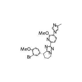 COc1ccc([C@H]2CCCn3nc(-c4ccc(-n5cnc(C)c5)c(OC)n4)nc32)cc1Br